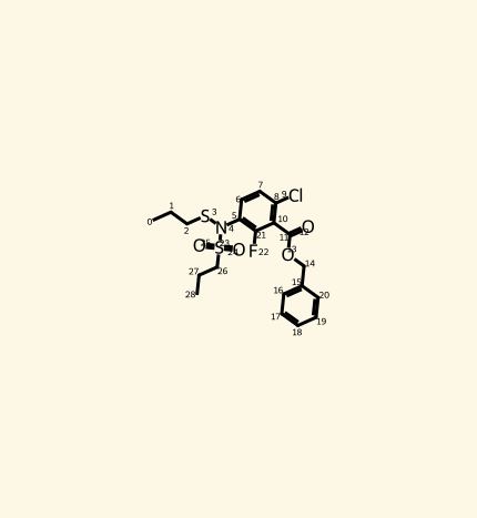 CCCSN(c1ccc(Cl)c(C(=O)OCc2ccccc2)c1F)S(=O)(=O)CCC